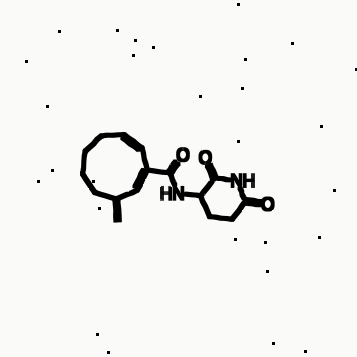 C=C1/C=C(C(=O)NC2CCC(=O)NC2=O)\C=C/CCCC1